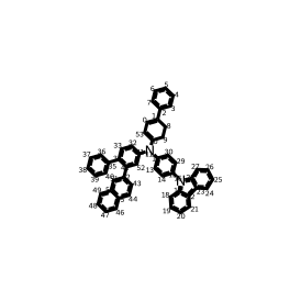 C1=C(c2ccccc2)CCC(N(c2ccc(-n3c4ccccc4c4ccccc43)cc2)c2ccc(-c3ccccc3)c(-c3ccc4ccccc4c3)c2)=C1